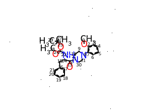 COc1ccccc1N1CCN(C(=O)C(Cc2ccccc2)NC(=O)OC(C)(C)C)CC1